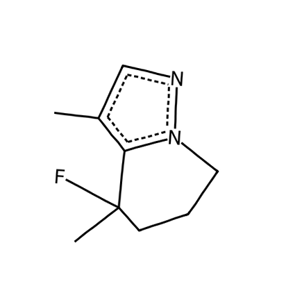 Cc1cnn2c1C(C)(F)CCC2